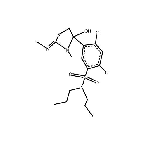 CCCN(CCC)S(=O)(=O)c1cc(C2(O)CSC(=NC)N2C)c(Cl)cc1Cl